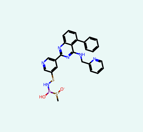 C[S+]([O-])P(O)NSc1cncc(-c2nc(NCc3ccccn3)c3c(-c4ccccc4)cccc3n2)c1